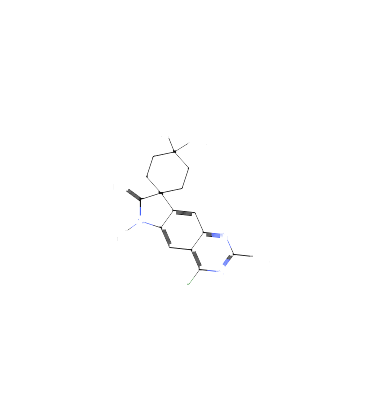 C=C1N(C)c2cc3c(Cl)nc(C)nc3cc2C12CCC(C)(C)CC2